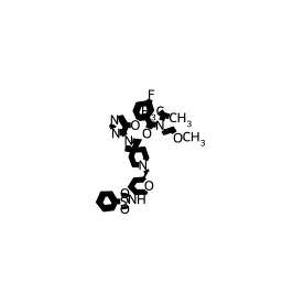 COCCN(C(=O)c1cc(F)ccc1Oc1cncnc1N1CC2(CCN(C[C@@H]3CC[C@@H](NS(=O)(=O)c4ccccc4)CO3)CC2)C1)C(C)C